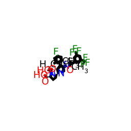 Cc1cc(F)ccc1-c1cc([C@H]2CC[C@@H](C(=O)O)N2C(=O)O)ncc1N(C)C(=O)C(C)(C)c1cc(C(F)(F)F)cc(C(F)(F)F)c1